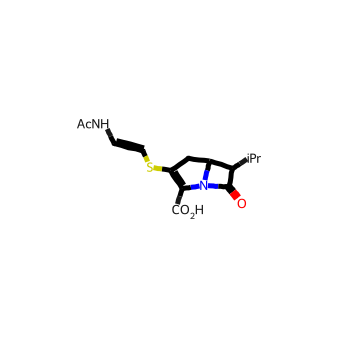 CC(=O)NC=CSC1=C(C(=O)O)N2C(=O)C(C(C)C)C2C1